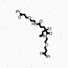 C=CCC(CC)(CCC(=O)NCCOCCC(=O)C(C)C)C(=O)NCCOCCC(=O)C(C)C